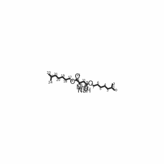 CC(C)CCCCCOC(=O)CC(=N)C(=O)OCCCCCC(C)C.[NaH]